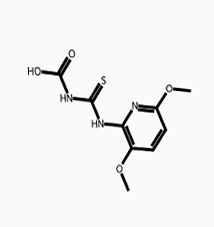 COc1ccc(OC)c(NC(=S)NC(=O)O)n1